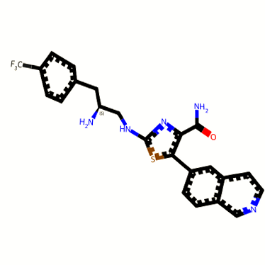 NC(=O)c1nc(NC[C@@H](N)Cc2ccc(C(F)(F)F)cc2)sc1-c1ccc2cnccc2c1